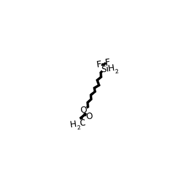 C=CC(=O)OCCCCCCCCCC[SiH2]C(F)F